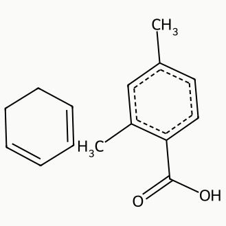 C1=CCCC=C1.Cc1ccc(C(=O)O)c(C)c1